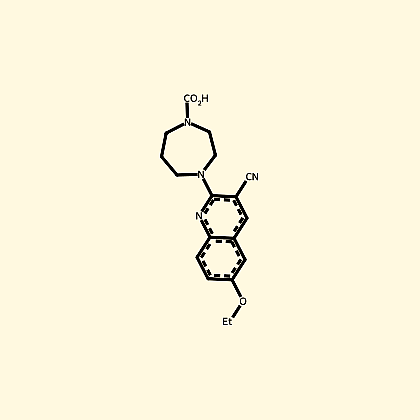 CCOc1ccc2nc(N3CCCN(C(=O)O)CC3)c(C#N)cc2c1